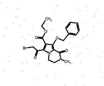 CCOC(=O)c1c(OCc2ccccc2)c2n(c1C(=O)CBr)CCN(C)C2=O